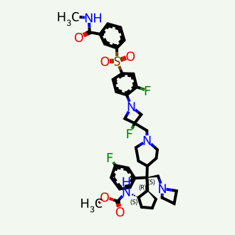 CNC(=O)c1cccc(S(=O)(=O)c2ccc(N3CC(F)(CN4CCC([C@@](CN5CCC5)(c5cccc(F)c5)[C@H]5CCC[C@@H]5NC(=O)OC)CC4)C3)c(F)c2)c1